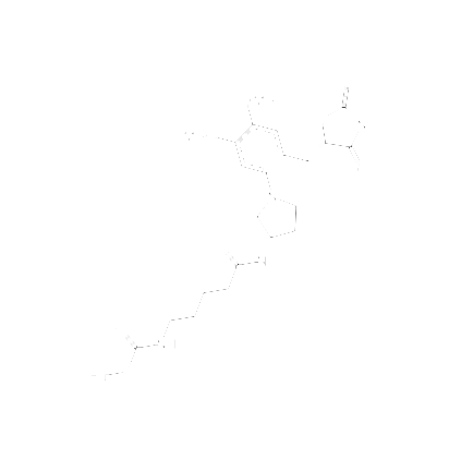 COc1cc(/C=C2\SC(=O)NC2=O)c(N2CC[C@H](NC(=O)CCCCNC(=O)OC(C)(C)C)C2)cc1OC